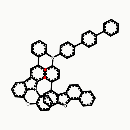 c1ccc(-c2ccc(-c3ccc(N(c4ccc(-c5cccc6oc7c8ccccc8ccc7c56)cc4)c4ccccc4-c4ccc5c(c4)c4cccc6c4n5-c4ccccc4O6)cc3)cc2)cc1